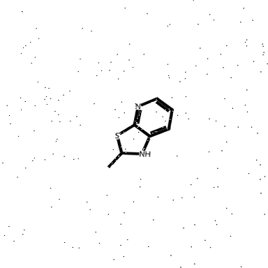 CC1Nc2cccnc2S1